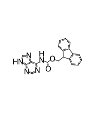 O=C(Nc1ncnc2[nH]cnc12)OCC1c2ccccc2-c2ccccc21